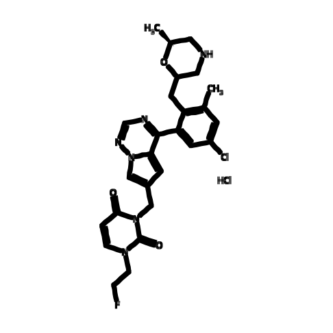 Cc1cc(Cl)cc(-c2ncnn3cc(Cn4c(=O)ccn(CCF)c4=O)cc23)c1CC1CNC[C@H](C)O1.Cl